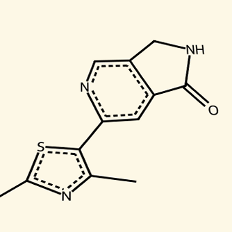 Cc1nc(C)c(-c2cc3c(cn2)CNC3=O)s1